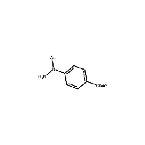 COc1ccc(N(N)C(C)=O)cc1